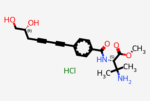 COC(=O)[C@@H](NC(=O)c1ccc(C#CC#CC[C@@H](O)CO)cc1)C(C)(C)N.Cl